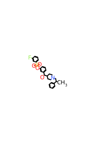 CC(CN1CCC(C(=O)c2cccc(OS(=O)(=O)c3cccc(F)c3)c2)CC1)c1ccccc1